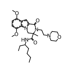 CCCCC(CC)NC(=O)C1(C)Cn2c(cc3c(OC)ccc(OC)c32)C(=O)N1CCN1CCOCC1